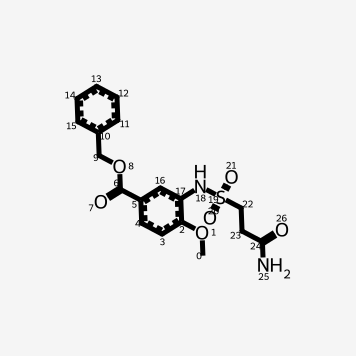 COc1ccc(C(=O)OCc2ccccc2)cc1NS(=O)(=O)CCC(N)=O